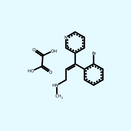 CNCC=C(c1cccnc1)c1ccccc1Br.O=C(O)C(=O)O